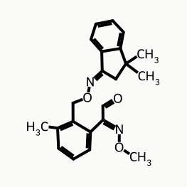 CO/N=C(/C=O)c1cccc(C)c1CO/N=C1\CC(C)(C)c2ccccc21